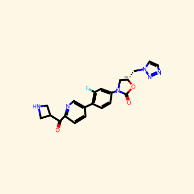 O=C(c1ccc(-c2ccc(N3C[C@H](Cn4ccnn4)OC3=O)cc2F)cn1)C1CNC1